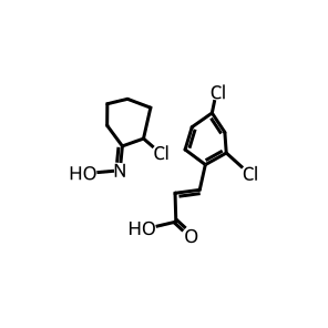 O=C(O)C=Cc1ccc(Cl)cc1Cl.ON=C1CCCCC1Cl